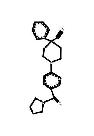 N#CC1(c2ccccc2)CCN(c2ccc(C(=O)N3CCCC3)cn2)CC1